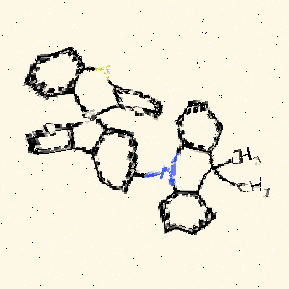 CC1(C)c2ccccc2N(c2ccc3c(c2)[Si]2(c4ccccc4Sc4ccccc42)c2ccccc2-3)c2ccccc21